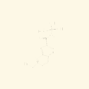 CC(C)(C)OC(=O)c1ccc2ccc(CBr)cc2c1